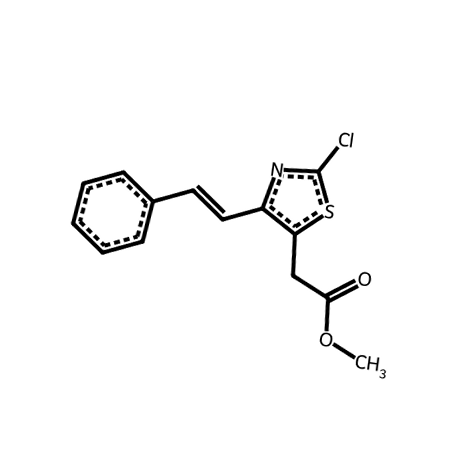 COC(=O)Cc1sc(Cl)nc1C=Cc1ccccc1